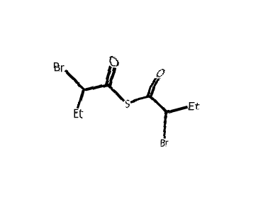 CCC(Br)C(=O)SC(=O)C(Br)CC